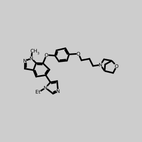 CCn1cncc1-c1cc(Oc2ccc(OCCCN3CC4CC3CO4)cc2)c2c(cnn2C)c1